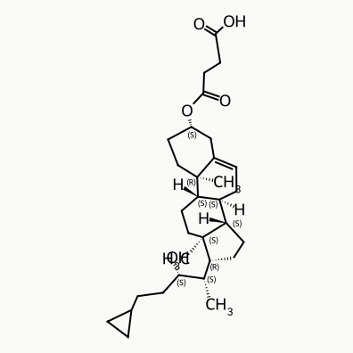 C[C@@H]([C@H]1CC[C@H]2[C@@H]3CC=C4C[C@@H](OC(=O)CCC(=O)O)CC[C@]4(C)[C@H]3CC[C@]12C)[C@@H](O)CCC1CC1